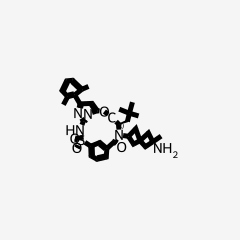 Cc1cccc(C)c1-c1cc2nc(n1)NS(=O)(=O)c1cccc(c1)C(=O)N(C1CC3(C1)CC(C)(N)C3)[C@H](CC(C)(C)C)CO2